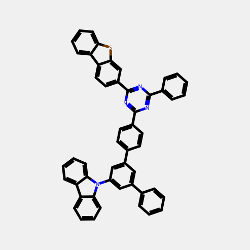 c1ccc(-c2cc(-c3ccc(-c4nc(-c5ccccc5)nc(-c5ccc6c(c5)sc5ccccc56)n4)cc3)cc(-n3c4ccccc4c4ccccc43)c2)cc1